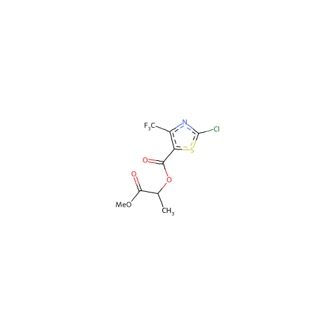 COC(=O)C(C)OC(=O)c1sc(Cl)nc1C(F)(F)F